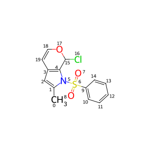 Cc1cc2c(n1S(=O)(=O)c1ccccc1)C(Cl)OC=C2